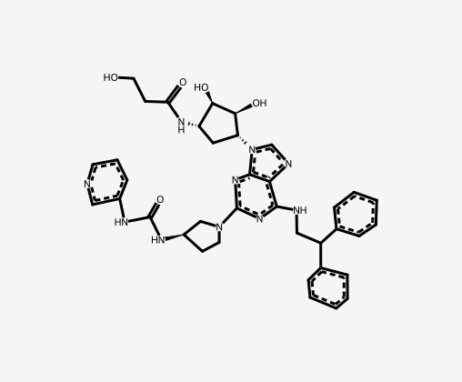 O=C(CCO)N[C@H]1C[C@@H](n2cnc3c(NCC(c4ccccc4)c4ccccc4)nc(N4CC[C@@H](NC(=O)Nc5cccnc5)C4)nc32)[C@H](O)[C@@H]1O